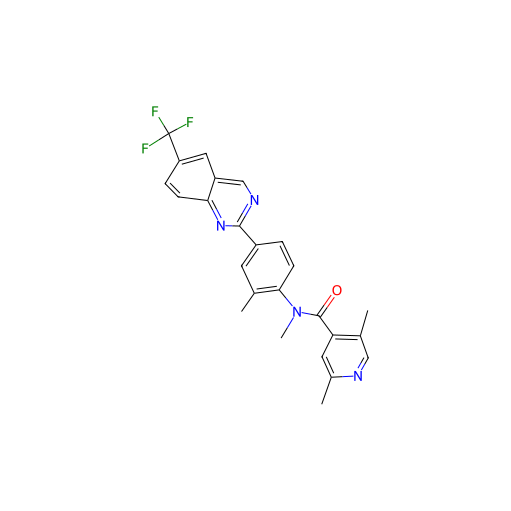 Cc1cc(C(=O)N(C)c2ccc(-c3ncc4cc(C(F)(F)F)ccc4n3)cc2C)c(C)cn1